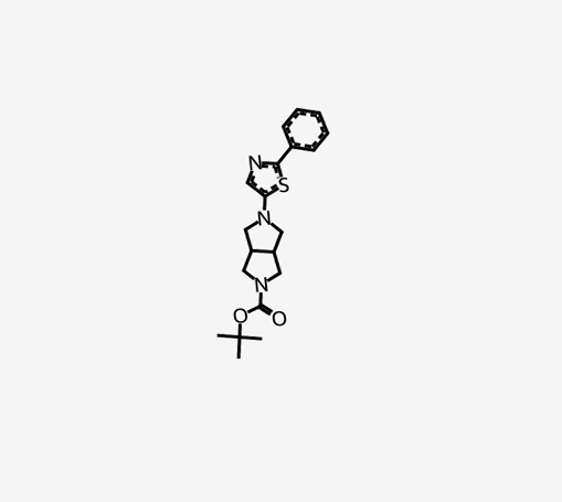 CC(C)(C)OC(=O)N1CC2CN(c3cnc(-c4ccccc4)s3)CC2C1